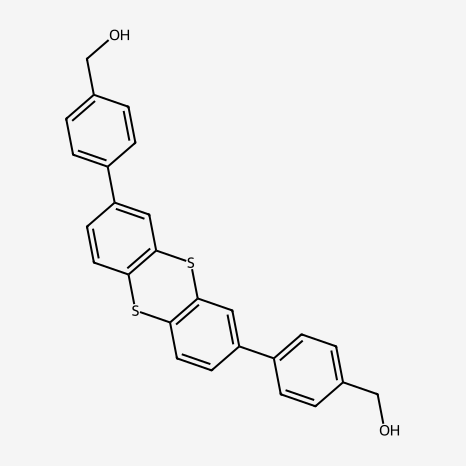 OCc1ccc(-c2ccc3c(c2)Sc2cc(-c4ccc(CO)cc4)ccc2S3)cc1